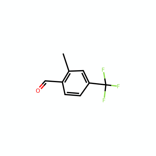 Cc1cc(C(F)(F)F)ccc1C=O